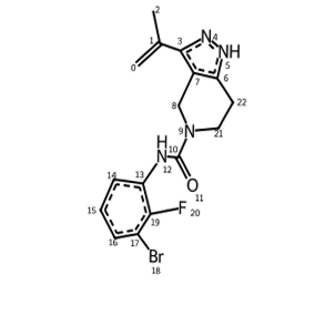 C=C(C)c1n[nH]c2c1CN(C(=O)Nc1cccc(Br)c1F)CC2